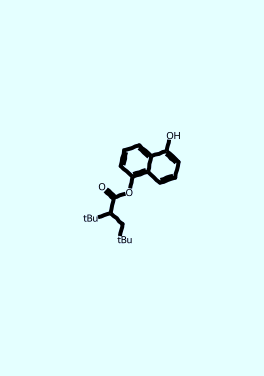 CC(C)(C)CC(C(=O)Oc1cccc2c(O)cccc12)C(C)(C)C